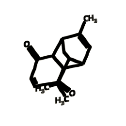 CC1=CC2C(C(C)C)CC1C1C(=O)C=CC(=O)C21